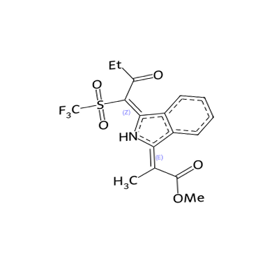 CCC(=O)/C(=c1/[nH]/c(=C(\C)C(=O)OC)c2ccccc12)S(=O)(=O)C(F)(F)F